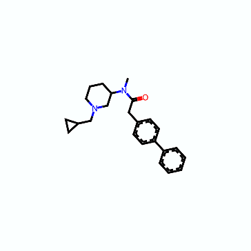 CN(C(=O)Cc1ccc(-c2ccccc2)cc1)C1CCCN(CC2CC2)C1